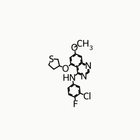 COc1cc(OC2CCSC2)c2c(Nc3ccc(F)c(Cl)c3)ncnc2c1